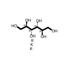 OC[C@@H](O)[C@@H](O)[C@H](O)[C@H](O)CO.[K].[K].[K]